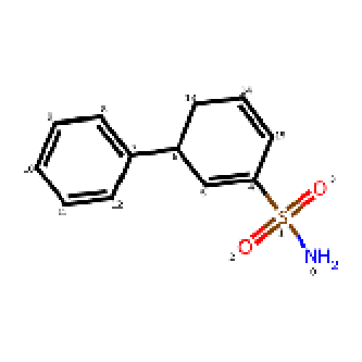 NS(=O)(=O)C1=CC(c2ccccc2)CC=C1